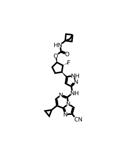 N#Cc1cn2c(Nc3cc([C@H]4CC[C@@H](OC(=O)NC56CC(C5)C6)[C@@H]4F)[nH]n3)ncc(C3CC3)c2n1